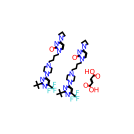 CC(C)(C)c1nc(N2CCN(CCCCn3ccc(N4CCC4)nc3=O)CC2)cc(C(F)(F)F)n1.CC(C)(C)c1nc(N2CCN(CCCCn3ccc(N4CCC4)nc3=O)CC2)cc(C(F)(F)F)n1.O=C(O)C=CC(=O)O